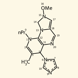 CCCN1C=C(C)C(n2ccnc2)C2=C1N1CN(OC)C=C1C=N2